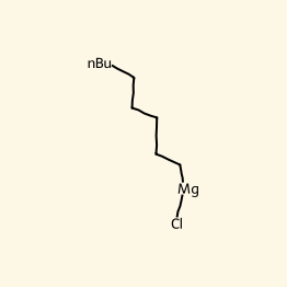 CCCCCCCC[CH2][Mg][Cl]